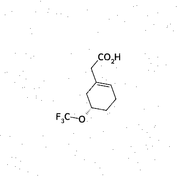 O=C(O)CC1=CCC[C@H](OC(F)(F)F)C1